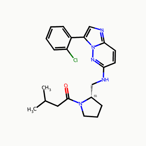 CC(C)CC(=O)N1CCC[C@H]1CNc1ccc2ncc(-c3ccccc3Cl)n2n1